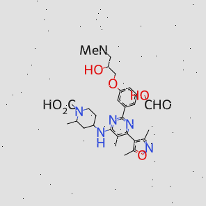 CNCC(O)COc1cccc(-c2nc(NC3CCN(C(=O)O)C(C)C3)c(C)c(-c3c(C)noc3C)n2)c1.O=CO